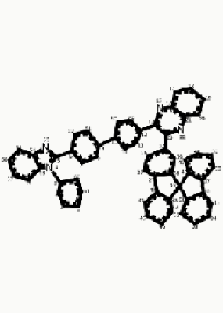 c1ccc(-n2c(-c3ccc(-c4ccc(-c5nc6ccccc6nc5-c5ccc6c(c5)C5(c7ccccc7-c7ccccc75)c5ccccc5-6)cc4)cc3)nc3ccccc32)cc1